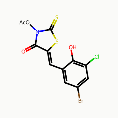 CC(=O)ON1C(=O)C(=Cc2cc(Br)cc(Cl)c2O)SC1=S